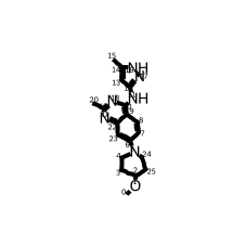 COC1CCN(c2ccc3c(Nc4cc(C)[nH]n4)nc(C)nc3c2)CC1